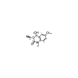 COc1ccc2c(c1)C(O)C(C#N)C(=O)N2C